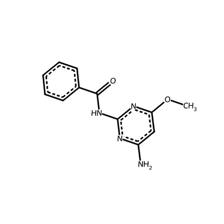 COc1cc(N)nc(NC(=O)c2ccccc2)n1